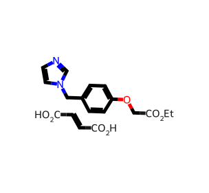 CCOC(=O)COc1ccc(Cn2ccnc2)cc1.O=C(O)/C=C/C(=O)O